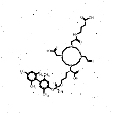 Cc1cc(C)c(-c2cc(C)c(OP(=O)(O)OCCC[C@H](C(=O)O)N3CCN(CC=O)CCN(CC(=O)NCCCC(=O)O)CCN(CC(=O)O)CC3)cc2C)c(C)c1